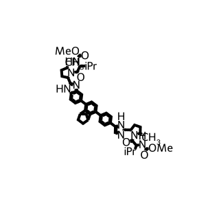 COC(=O)NC(C(=O)N1C(C)CCC1c1ncc(-c2ccc(-c3ccc(-c4ccc5[nH]c(C6CCC(C)N6C(=O)C(NC(=O)OC)C(C)C)nc5c4)c4c3C3CCC4C3)cc2)[nH]1)C(C)C